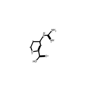 N=C(N)NC1C=C(C(=O)O)OCC1